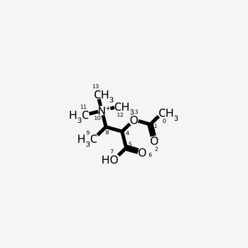 CC(=O)OC(C(=O)O)C(C)[N+](C)(C)C